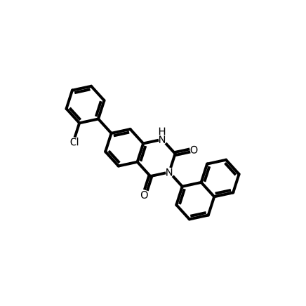 O=c1[nH]c2cc(-c3ccccc3Cl)ccc2c(=O)n1-c1cccc2ccccc12